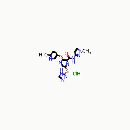 Cc1ccc(Sc2ncc(Sc3nnc[nH]3)nc2C(=O)Nc2ccn(C)n2)cn1.Cl